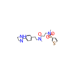 CN(CCc1ccc(C2=NCCN2)cc1)C(=O)CCN(C)S(=O)(=O)c1ccsc1